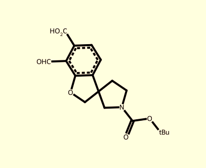 CC(C)(C)OC(=O)N1CCC2(COc3c2ccc(C(=O)O)c3C=O)C1